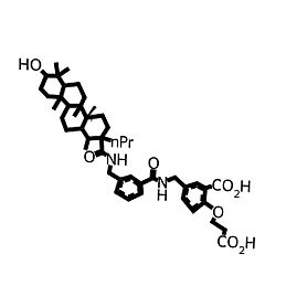 CCCC1(C(=O)NCc2cccc(C(=O)NCc3ccc(OCCC(=O)O)c(C(=O)O)c3)c2)CC[C@]2(C)C(CCC3C4(C)CCC(O)C(C)(C)C4CCC32C)C1C